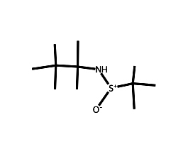 CC(C)(C)[S+]([O-])NC(C)(C)C(C)(C)C